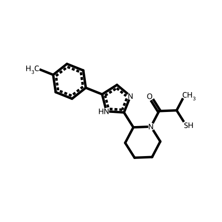 Cc1ccc(-c2cnc(C3CCCCN3C(=O)C(C)S)[nH]2)cc1